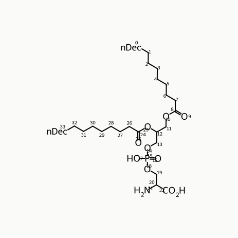 CCCCCCCCCCCCCCCCCC(=O)OCC(COP(=O)(O)OCC(N)C(=O)O)OC(=O)CCCCCCCCCCCCCCCCC